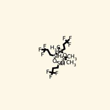 C[Si]1(C)O[SiH](CCC(F)(F)F)O[SiH](CCC(F)(F)F)O[Si](C)(CCC(F)(F)F)O1